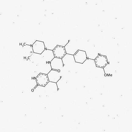 COc1cc(N2CC=C(c3c(F)cc(N4CCN(C)[C@@H](C)C4)c(NC(=O)c4c[nH]c(=O)cc4C(F)F)c3F)CC2)ncn1